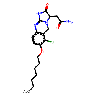 CC(=O)OCCCCCCOc1ccc2c(c1Cl)CN1C(=N2)NC(=O)C1CC(N)=O